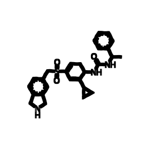 CC(NC(=O)NC1CC=C(S(=O)(=O)Cc2ccc3c(c2)CNC3)C=C1C1CC1)c1ccccc1